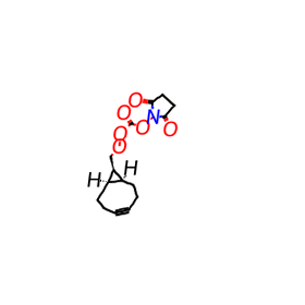 O=C(OOC[C@@H]1[C@@H]2CCC#CCC[C@@H]21)ON1C(=O)CCC1=O